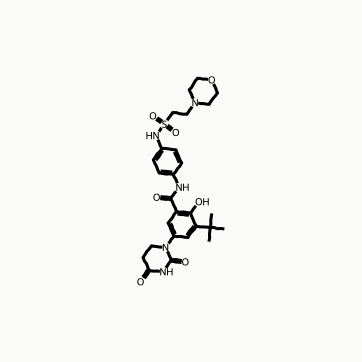 CC(C)(C)c1cc(N2CCC(=O)NC2=O)cc(C(=O)Nc2ccc(NS(=O)(=O)CCN3CCOCC3)cc2)c1O